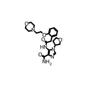 NC(=O)c1ncn(C2CCOC2)c1NC(=O)Cc1ccccc1OCCN1CCOCC1